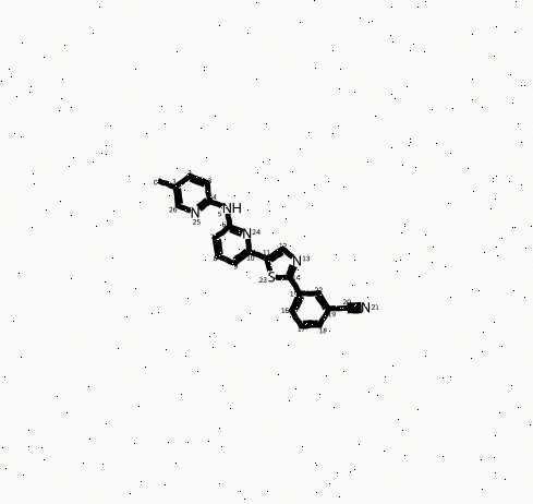 Cc1ccc(Nc2cccc(-c3cnc(-c4cccc(C#N)c4)s3)n2)nc1